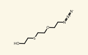 [N-]=[N+]=NCCOCCSCCO